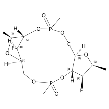 C[C@@H]1O[C@@H]2COP(C)(=O)O[C@@H]3[C@H](F)[C@@H](COP(C)(=O)O[C@H]2[C@@H]1F)O[C@H]3C